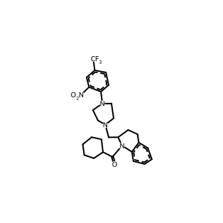 O=C(C1CCCCC1)N1c2ccccc2CCC1CN1CCN(c2ccc(C(F)(F)F)cc2[N+](=O)[O-])CC1